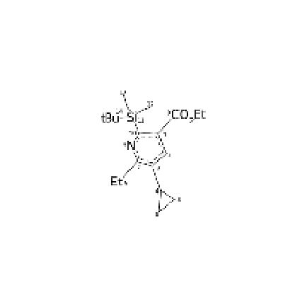 CCOC(=O)c1cc(C2CC2)c(CC)nc1[Si](C)(C)C(C)(C)C